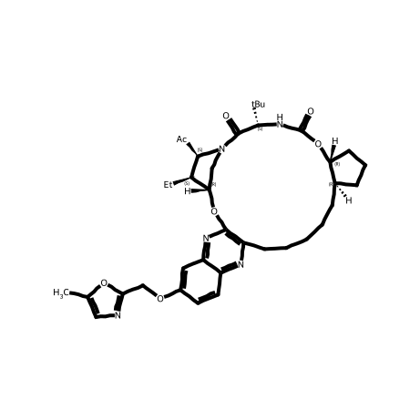 CC[C@@H]1[C@@H]2CN(C(=O)[C@H](C(C)(C)C)NC(=O)O[C@@H]3CCC[C@H]3CCCCCc3nc4ccc(OCc5ncc(C)o5)cc4nc3O2)[C@@H]1C(C)=O